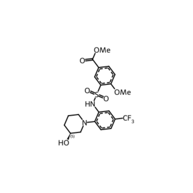 COC(=O)c1ccc(OC)c(S(=O)(=O)Nc2cc(C(F)(F)F)ccc2N2CCC[C@H](O)C2)c1